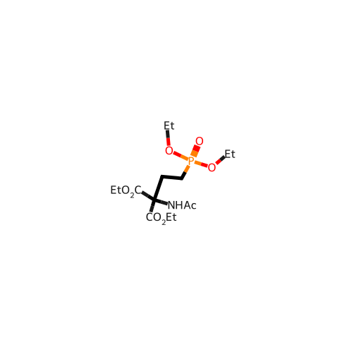 CCOC(=O)C(CCP(=O)(OCC)OCC)(NC(C)=O)C(=O)OCC